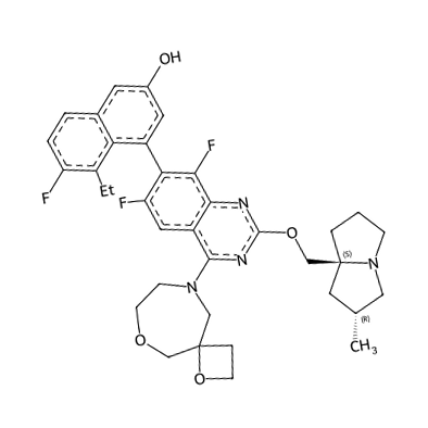 CCc1c(F)ccc2cc(O)cc(-c3c(F)cc4c(N5CCOCC6(CCO6)C5)nc(OC[C@@]56CCCN5C[C@H](C)C6)nc4c3F)c12